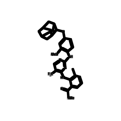 CNC(=O)c1cccc(C)c1Nc1nc(Nc2ccc(OC3C4CC5CC(C4)CC3C5)cc2OC)ncc1C(F)(F)F